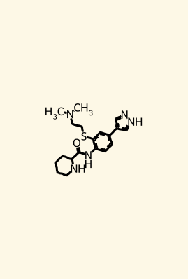 CN(C)CCSc1cc(-c2cn[nH]c2)ccc1NC(=O)C1CCCCN1